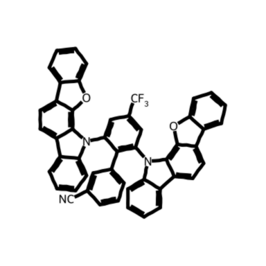 N#Cc1cccc(-c2c(-n3c4ccccc4c4ccc5c6ccccc6oc5c43)cc(C(F)(F)F)cc2-n2c3ccccc3c3ccc4c5ccccc5oc4c32)c1